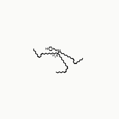 CCCCC/C=C\C/C=C\CCCCCCCCC(NCCN1CCNCC1)C(N)(CCCCCCCC/C=C\C/C=C\CCCCC)CCCCCCCC/C=C\C/C=C\CCCCC